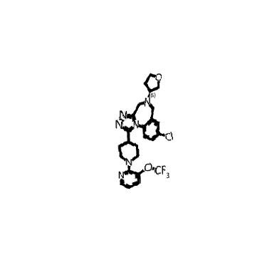 FC(F)(F)Oc1cccnc1N1CCC(c2nnc3n2-c2ccc(Cl)cc2CN([C@H]2CCOC2)C3)CC1